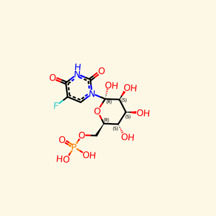 O=c1[nH]c(=O)n([C@]2(O)O[C@H](COP(=O)(O)O)[C@@H](O)[C@H](O)[C@@H]2O)cc1F